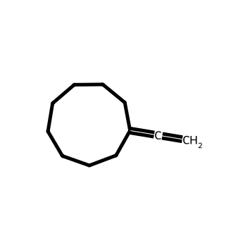 C=C=C1CCCCCCCC1